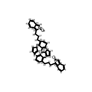 O=[N+]1C=c2ccccc2=C1CCCc1ccc(F)[c]([Ti]([C]2=CC=CC2)([C]2=CC=CC2)[c]2c(F)ccc(CCCC3=c4ccccc4=C[N+]3=O)c2F)c1F